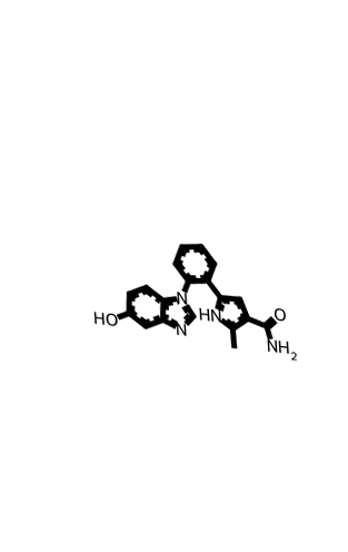 Cc1[nH]c(-c2ccccc2-n2cnc3cc(O)ccc32)cc1C(N)=O